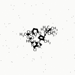 C=C1[C@H](CO[Si](C)(C)C(C)(C)C)[C@@H](OC2CCCCO2)C[C@@H]1n1cnc2c(Cl)nc(NC(=O)OC(C)(C)C)nc21